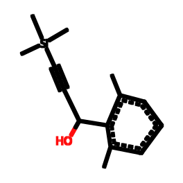 Cc1cccc(C)c1C(O)C#C[Si](C)(C)C